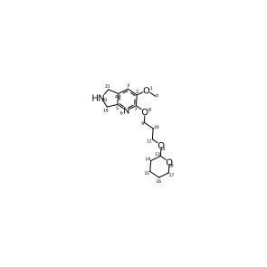 COc1cc2c(nc1OCCCOC1CCCCO1)CNC2